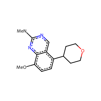 CNc1ncc2c(C3CCOCC3)ccc(OC)c2n1